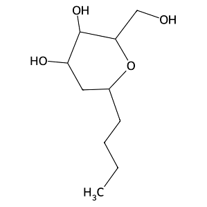 CCCCC1CC(O)C(O)C(CO)O1